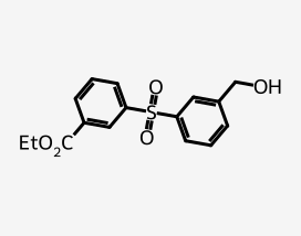 CCOC(=O)c1cccc(S(=O)(=O)c2cccc(CO)c2)c1